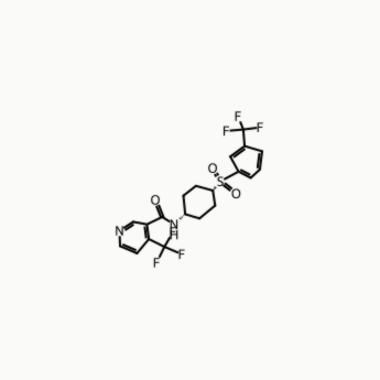 O=C(N[C@H]1CC[C@@H](S(=O)(=O)c2cccc(C(F)(F)F)c2)CC1)c1cnccc1C(F)(F)F